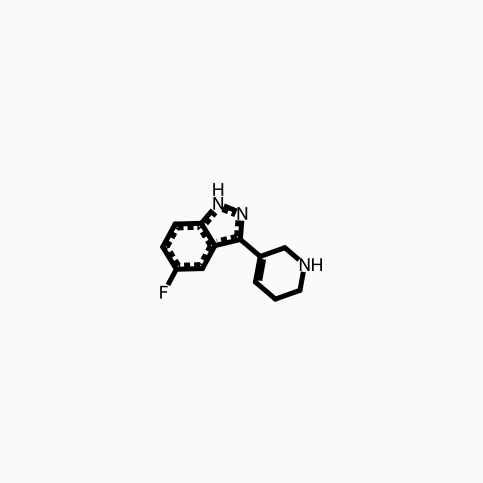 Fc1ccc2[nH]nc(C3=CCCNC3)c2c1